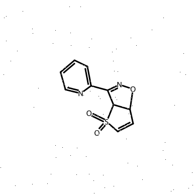 O=S1(=O)C=CC2ON=C(c3ccccn3)C21